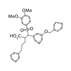 COc1ccc(S(=O)(=O)C(c2cccc(OCc3ccccc3)c2)C(CCCc2ccccc2)C(=O)O)cc1OC